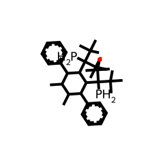 CC1C(C)C(c2ccccc2)C(C(P)(C(C)(C)C)C(C)(C)C)C(C(P)(C(C)(C)C)C(C)(C)C)C1c1ccccc1